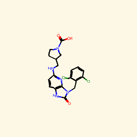 O=C(O)N1CCC(CNc2ccc3[nH]c(=O)n(Cc4c(Cl)cccc4Cl)c3n2)C1